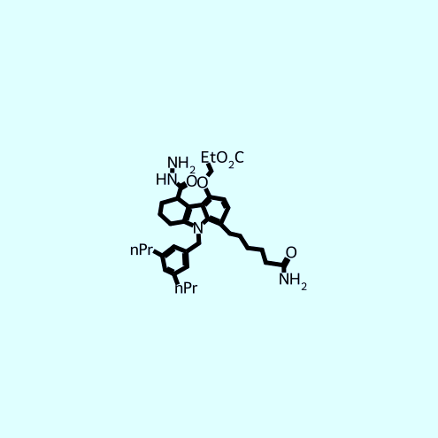 CCCc1cc(CCC)cc(Cn2c3c(c4c(OCC(=O)OCC)ccc(CCCCCC(N)=O)c42)C(C(=O)NN)CCC3)c1